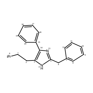 CC(C)CCc1[nH]c(Cc2ccccc2)nc1-c1ccccc1